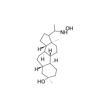 CC(NO)C1CC[C@H]2[C@@H]3CC[C@H]4C[C@](C)(O)CC[C@@H]4[C@H]3CC[C@]12C